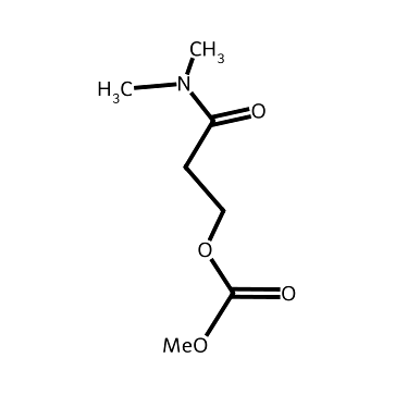 COC(=O)OCCC(=O)N(C)C